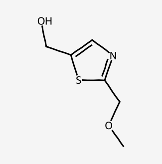 COCc1ncc(CO)s1